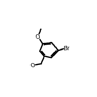 COc1cc(Br)cc(C[O])c1